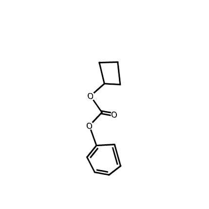 O=C(Oc1ccccc1)OC1CCC1